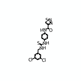 O=C(Nc1ccc(NC(=S)NCc2cc(Cl)cc(Cl)c2)cc1)c1csnn1